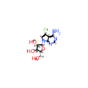 Nc1ncnc2c1c(F)cn2[C@@H]1O[C@H](CO)[C@H](O)[C@H]1O